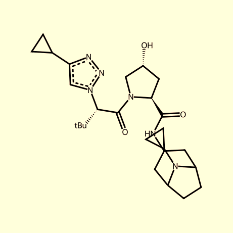 CC(C)(C)[C@@H](C(=O)N1C[C@H](O)C[C@H]1C(=O)NC1CC2CCC(C1)N2C1CC1)n1cc(C2CC2)nn1